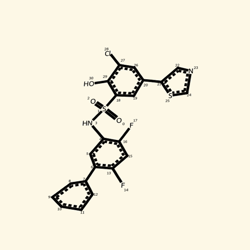 O=S(=O)(Nc1cc(-c2ccccc2)c(F)cc1F)c1cc(-c2cncs2)cc(Cl)c1O